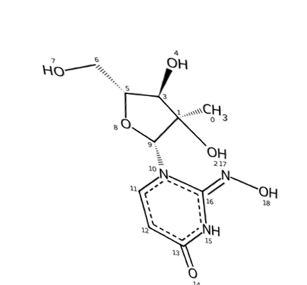 C[C@@]1(O)[C@H](O)[C@@H](CO)O[C@H]1n1ccc(=O)[nH]/c1=N\O